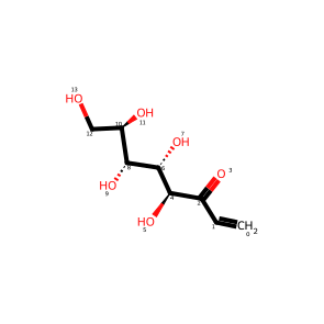 C=CC(=O)[C@@H](O)[C@@H](O)[C@H](O)[C@H](O)CO